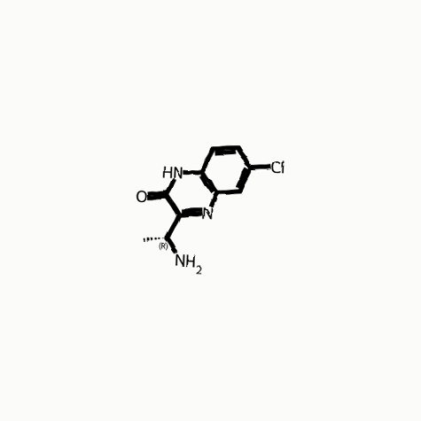 C[C@@H](N)c1nc2cc(Cl)ccc2[nH]c1=O